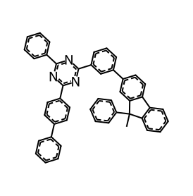 CC1(c2ccccc2)c2ccccc2-c2ccc(-c3cccc(-c4nc(-c5ccccc5)nc(-c5ccc(-c6ccccc6)cc5)n4)c3)cc21